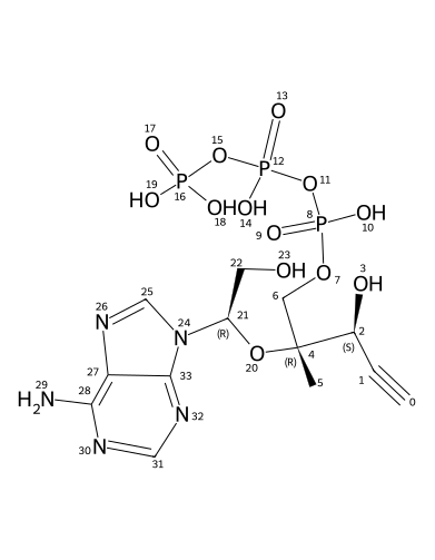 C#C[C@H](O)[C@@](C)(COP(=O)(O)OP(=O)(O)OP(=O)(O)O)O[C@H](CO)n1cnc2c(N)ncnc21